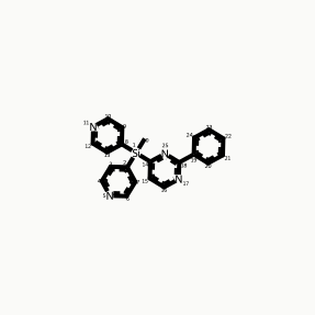 C[Si](c1ccncc1)(c1ccncc1)c1ccnc(-c2ccccc2)n1